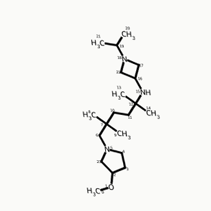 COC1CCN(CC(C)(C)CCC(C)(C)NC2CN(C(C)C)C2)C1